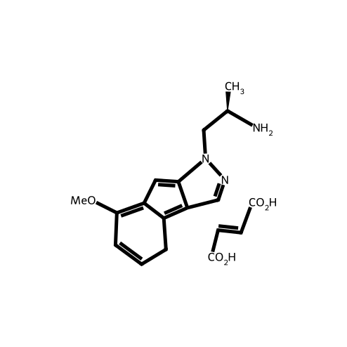 COC1=C2C=c3c(cnn3C[C@@H](C)N)=C2CC=C1.O=C(O)/C=C/C(=O)O